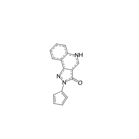 O=c1c2c[nH]c3ccccc3c-2nn1C1=C=CC=C1